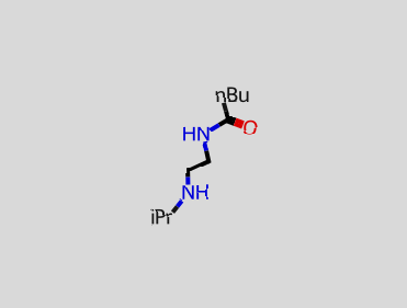 CCCCC(=O)NCCNC(C)C